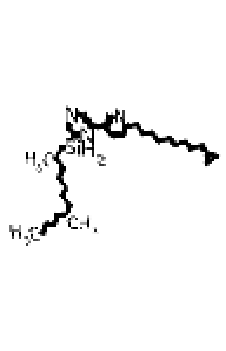 CCCCCC(C)CCCCCC(C)C[SiH2]c1cncc(-c2ccc(CCCCCCCCCC3CC3)nc2)n1